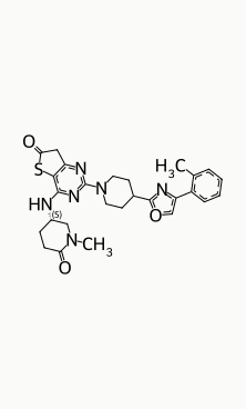 Cc1ccccc1-c1coc(C2CCN(c3nc4c(c(N[C@H]5CCC(=O)N(C)C5)n3)SC(=O)C4)CC2)n1